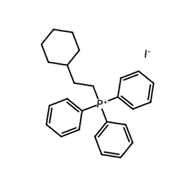 [I-].c1ccc([P+](CCC2CCCCC2)(c2ccccc2)c2ccccc2)cc1